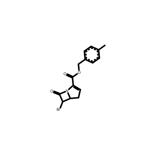 Cc1ccc(COC(=O)C2=CCC3C(Br)C(=O)N23)cc1